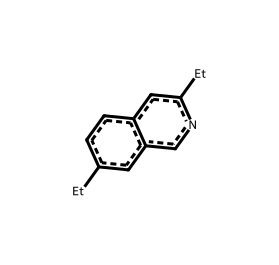 CCc1ccc2cc(CC)ncc2c1